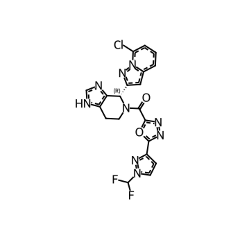 O=C(c1nnc(-c2ccn(C(F)F)n2)o1)N1CCc2[nH]cnc2[C@@H]1c1cc2cccc(Cl)n2n1